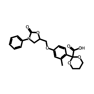 Cc1cc(OCC2CN(c3ccccc3)C(=O)O2)ccc1C1(C(=O)O)OCCCO1